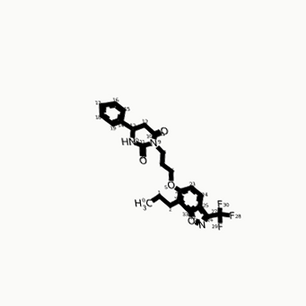 CCCc1c(OCCCN2C(=O)CC(c3ccccc3)NC2=O)ccc2c(C(F)(F)F)noc12